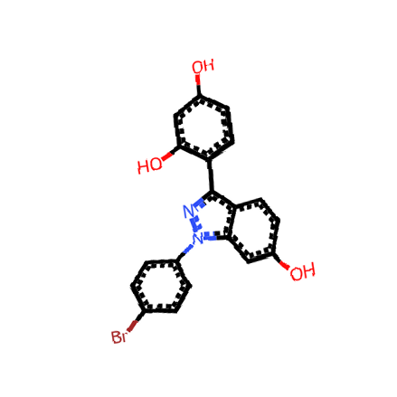 Oc1ccc(-c2nn(-c3ccc(Br)cc3)c3cc(O)ccc23)c(O)c1